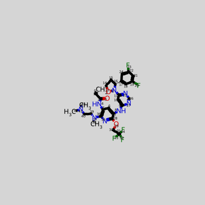 C=CC(=O)Nc1cc(Nc2cc(N3OCC[C@@H]3c3cc(F)cc(F)c3)ncn2)c(OCC(F)(F)F)nc1N(C)CCN(C)C